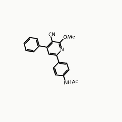 COc1nc(-c2ccc(NC(C)=O)cc2)cc(-c2ccccc2)c1C#N